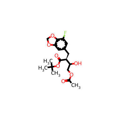 CC(=O)OCC(O)[C@H](Cc1cc(F)c2c(c1)OCO2)C(=O)OC(C)(C)C